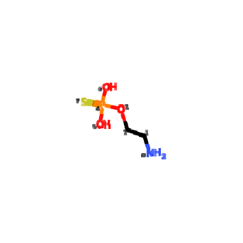 NCCOP(O)(O)=S